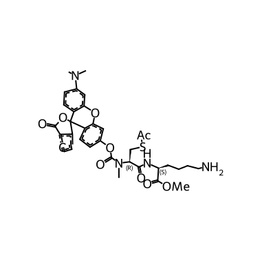 COC(=O)[C@H](CCCCN)NC(=O)[C@H](CSC(C)=O)N(C)C(=O)Oc1ccc2c(c1)Oc1cc(N(C)C)ccc1C21OC(=O)c2ccccc21